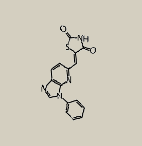 O=C1NC(=O)/C(=C/c2ccc3ncn(-c4ccccc4)c3n2)S1